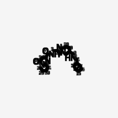 O=C(NCc1cn2cc(CNCC3CC4C=CC3O4)ccc2n1)c1cc(=O)n2ccccc2n1